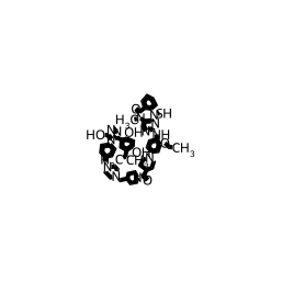 CCOc1cc(N2CCC(C(=O)N3CCC(CN4CCN(Cc5ccc(-n6c(O)nnc6-c6cc(C(C)C)c(O)cc6O)cc5)CC4)CC3)CC2)ccc1Nc1ncc2c(n1)N(S)c1ccccc1C(=O)N2C